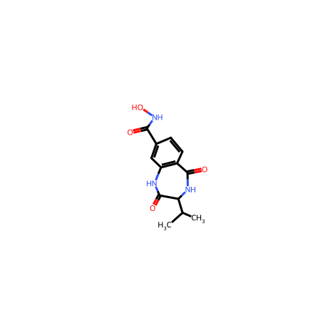 CC(C)C1NC(=O)c2ccc(C(=O)NO)cc2NC1=O